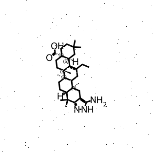 CCC1=C2[C@@H]3CC(C)(C)CC[C@]3(C(=O)O)CC[C@@]2(C)[C@]2(C)CC[C@H]3C(C)(C)c4n[nH]c(N)c4C[C@]3(C)C2C1